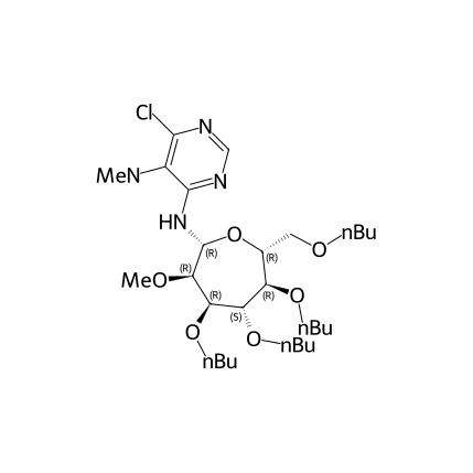 CCCCOC[C@H]1O[C@@H](Nc2ncnc(Cl)c2NC)[C@H](OC)[C@H](OCCCC)[C@@H](OCCCC)[C@@H]1OCCCC